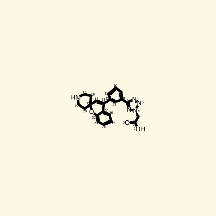 O=C(O)Cn1nnc(-c2cccc(C3=CC4(CCNCC4)Oc4ccccc43)c2)n1